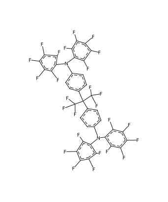 Fc1c(F)c(F)c(N(c2ccc(C(c3ccc(N(c4c(F)c(F)c(F)c(F)c4F)c4c(F)c(F)c(F)c(F)c4F)cc3)(C(F)(F)F)C(F)(F)F)cc2)c2c(F)c(F)c(F)c(F)c2F)c(F)c1F